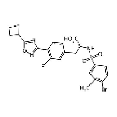 Cc1cc(S(=O)(=O)NC(Cc2ccc(-c3noc(C4CCC4)n3)c(F)c2)C(=O)O)ccc1Br